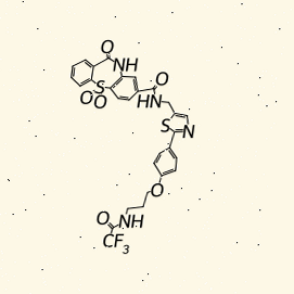 O=C(NCc1cnc(-c2ccc(OCCCNC(=O)C(F)(F)F)cc2)s1)c1ccc2c(c1)NC(=O)c1ccccc1S2(=O)=O